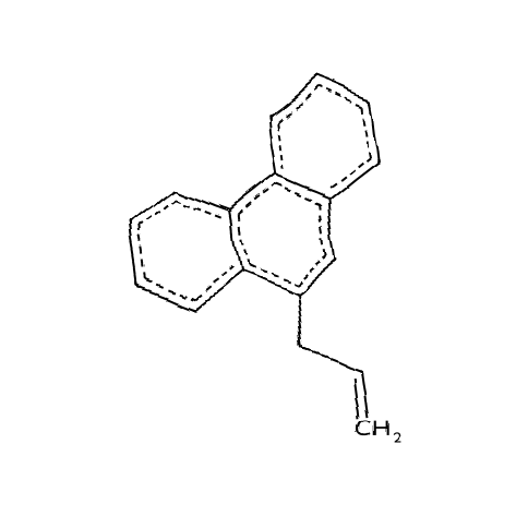 C=CCc1cc2ccccc2c2ccccc12